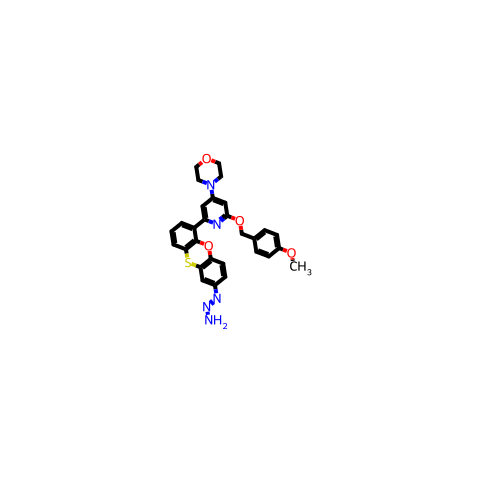 COc1ccc(COc2cc(N3CCOCC3)cc(-c3cccc4c3Oc3ccc(N=NN)cc3S4)n2)cc1